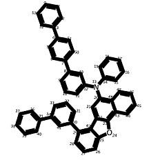 c1ccc(-c2ccc(-c3cccc(N(c4ccccc4)c4cc5c(oc6cccc(-c7cccc(-c8ccccc8)c7)c65)c5ccccc45)c3)cc2)cc1